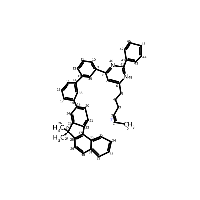 C/C=C\CCCc1cc(-c2cccc(-c3cccc(-c4ccc5c(c4)C(C)(C)c4ccc6ccccc6c4-5)c3)c2)nc(-c2ccccc2)n1